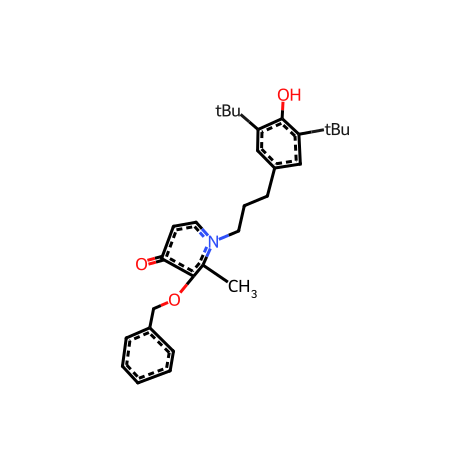 Cc1c(OCc2ccccc2)c(=O)ccn1CCCc1cc(C(C)(C)C)c(O)c(C(C)(C)C)c1